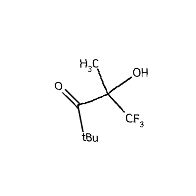 CC(C)(C)C(=O)C(C)(O)C(F)(F)F